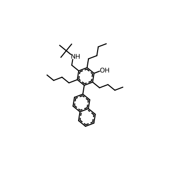 CCCCc1c(O)c(CCCC)c(-c2ccc3ccccc3c2)c(CCCC)c1CNC(C)(C)C